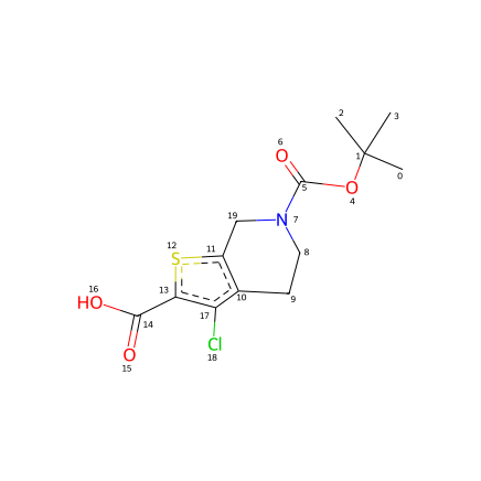 CC(C)(C)OC(=O)N1CCc2c(sc(C(=O)O)c2Cl)C1